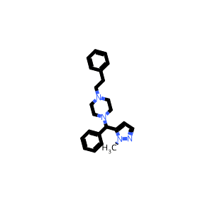 Cn1nccc1C(c1ccccc1)N1CCN(CCc2ccccc2)CC1